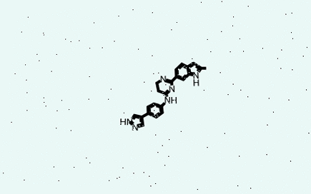 Cc1cc2ccc(C3=NCCC(Nc4ccc(-c5cn[nH]c5)cc4)=N3)cc2[nH]1